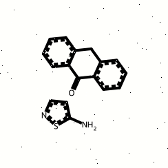 Nc1ccns1.O=C1c2ccccc2Cc2ccccc21